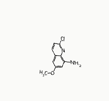 COc1cc(N)c2nc(Cl)ccc2c1